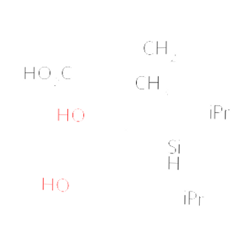 C=CC(=O)O.CC(C)[SiH](C(C)C)C(C)(O)CO